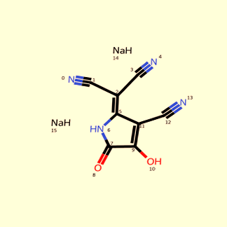 N#CC(C#N)=C1NC(=O)C(O)=C1C#N.[NaH].[NaH]